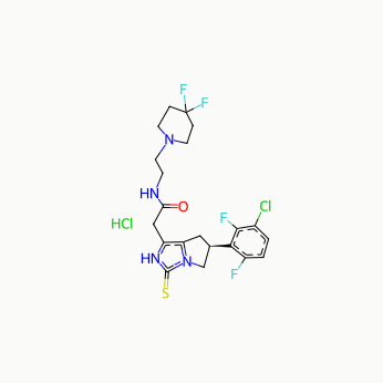 Cl.O=C(Cc1[nH]c(=S)n2c1C[C@@H](c1c(F)ccc(Cl)c1F)C2)NCCN1CCC(F)(F)CC1